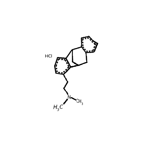 CN(C)CCc1cccc2c1C1Cc3ccccc3C2C1.Cl